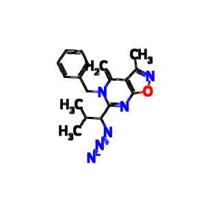 C=C1c2c(C)noc2N=C(C(N=[N+]=[N-])C(C)C)N1Cc1ccccc1